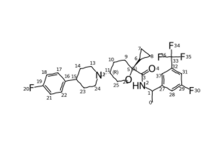 CC(NC(=O)[C@@]1(C2CC2)CC[C@@H](N2CCC(c3ccc(F)cc3)CC2)CO1)c1cc(F)cc(C(F)(F)F)c1